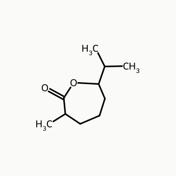 CC1CCCC(C(C)C)OC1=O